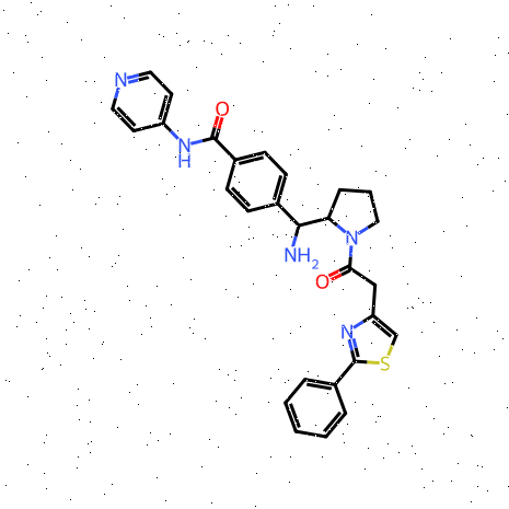 NC(c1ccc(C(=O)Nc2ccncc2)cc1)C1CCCN1C(=O)Cc1csc(-c2ccccc2)n1